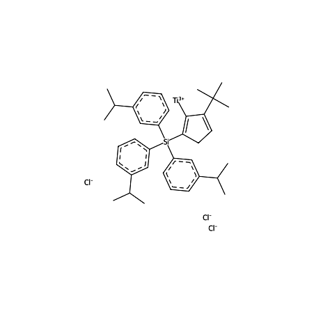 CC(C)c1cccc([Si](C2=[C]([Ti+3])C(C(C)(C)C)=CC2)(c2cccc(C(C)C)c2)c2cccc(C(C)C)c2)c1.[Cl-].[Cl-].[Cl-]